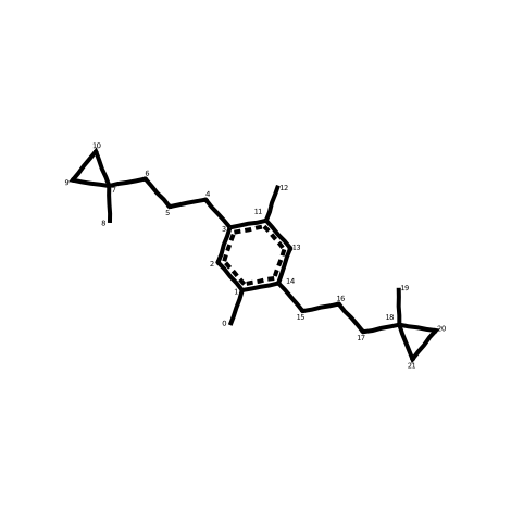 Cc1cc(CCCC2(C)CC2)c(C)cc1CCCC1(C)CC1